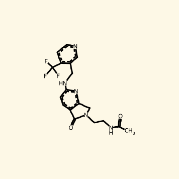 CC(=O)NCCN1Cc2nc(NCc3cnccc3C(F)(F)F)ccc2C1=O